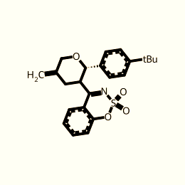 C=C1CO[C@H](c2ccc(C(C)(C)C)cc2)C(C2=NS(=O)(=O)Oc3ccccc32)C1